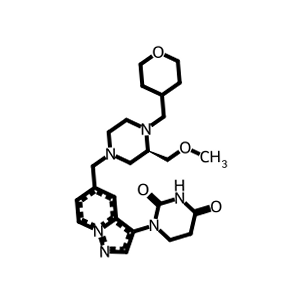 COC[C@H]1CN(Cc2ccn3ncc(N4CCC(=O)NC4=O)c3c2)CCN1CC1CCOCC1